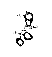 CC(=O)O[C@@H]1c2ccnc(C)c2C[C@H]1CO[Si](c1ccccc1)(c1ccccc1)C(C)(C)C